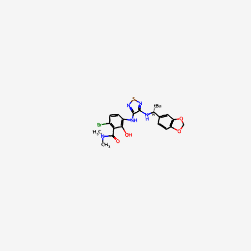 CN(C)C(=O)c1c(Br)ccc(Nc2nsnc2N[C@@H](c2ccc3c(c2)OCO3)C(C)(C)C)c1O